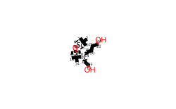 CC(C)(C)[Si](C)(C)O[Si](C)(C)C(C)(C)C.OCC=C=CCCCO